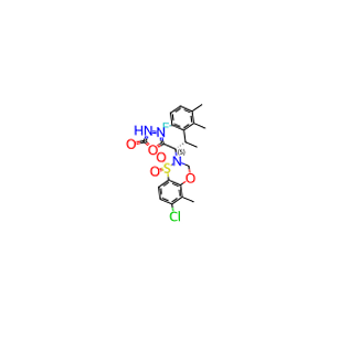 Cc1ccc(F)c(C(C)[C@@H](c2n[nH]c(=O)o2)N2COc3c(ccc(Cl)c3C)S2(=O)=O)c1C